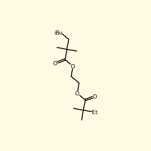 CCC(C)CC(C)(C)C(=O)OCCOC(=O)C(C)(C)CC